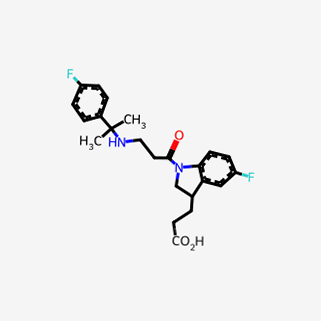 CC(C)(NCCC(=O)N1CC(CCC(=O)O)c2cc(F)ccc21)c1ccc(F)cc1